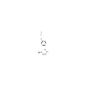 NCCNCc1ccc(OC2OC(C(=O)O)C(O)C(O)C2O)cc1